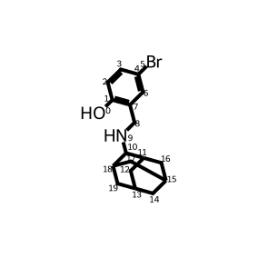 Oc1ccc(Br)cc1CNC1C2CC3CC(C2)CC1C3